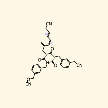 C=C(/C=C\C=C\CC#N)Cn1c(=O)n(Cc2cccc(CC#N)c2)c(=O)n(Cc2cccc(COC#N)c2)c1=O